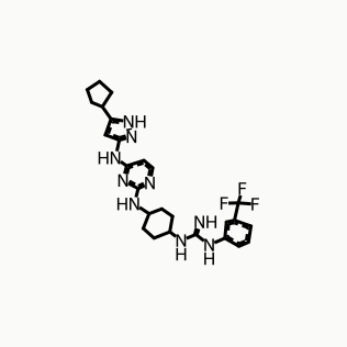 N=C(Nc1cccc(C(F)(F)F)c1)NC1CCC(Nc2nccc(Nc3cc(C4CCCC4)[nH]n3)n2)CC1